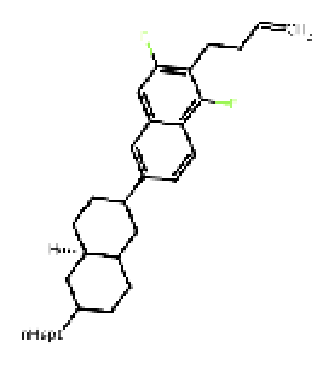 C=CCCc1c(F)cc2cc([C@@H]3CC[C@@H]4CC(CCCCCCC)CCC4C3)ccc2c1F